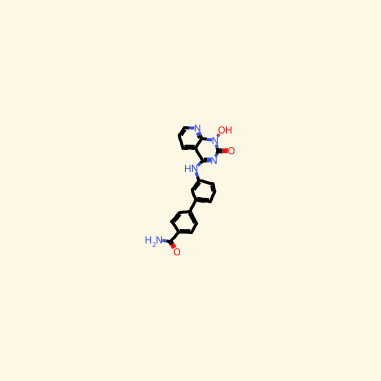 NC(=O)c1ccc(-c2cccc(Nc3nc(=O)n(O)c4ncccc34)c2)cc1